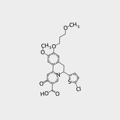 COCCCOc1cc2c(cc1OC)-c1cc(=O)c(C(=O)O)cn1C(c1ccc(Cl)s1)C2